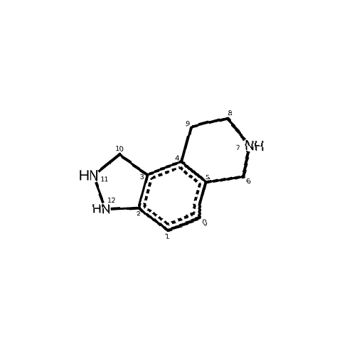 c1cc2c(c3c1CNCC3)CNN2